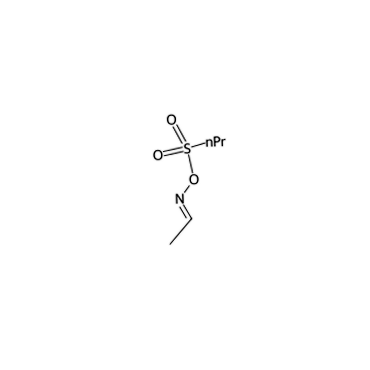 CC=NOS(=O)(=O)CCC